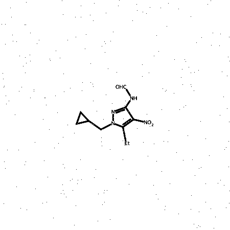 CCc1c([N+](=O)[O-])c(NC=O)nn1CC1CC1